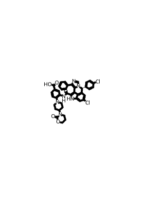 O=C(O)c1ccc(N2CCC(N3CCCOC3=O)CC2)c(NC(=O)c2[nH]c3cc(Cl)cc4c3c2-c2c(-c3ccccc3)ncn2[C@@H]4c2ccc(Cl)cc2)c1